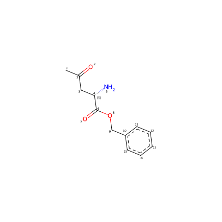 CC(=O)C[C@H](N)C(=O)OCc1ccccc1